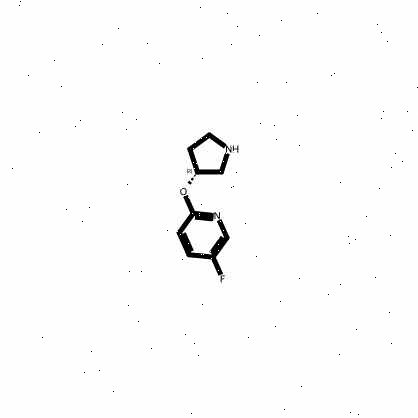 Fc1ccc(O[C@@H]2CCNC2)nc1